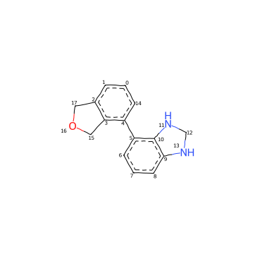 c1cc2c(c(-c3cccc4c3NCN4)c1)COC2